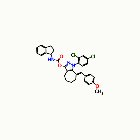 COc1ccc(/C=C2\CCCCc3c(OC(=O)N[C@@H]4CCc5ccccc54)nn(-c4ccc(Cl)cc4Cl)c32)cc1